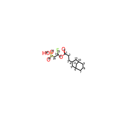 O=C(CCC1CC2CCCC(C2)C1)OC(F)CS(=O)(=O)O